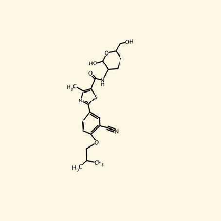 Cc1nc(-c2ccc(OCC(C)C)c(C#N)c2)sc1C(=O)NC1CCC(CO)OC1O